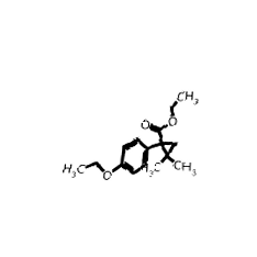 CCOC(=O)C1(c2ccc(OCC)cc2)CC1(C)C